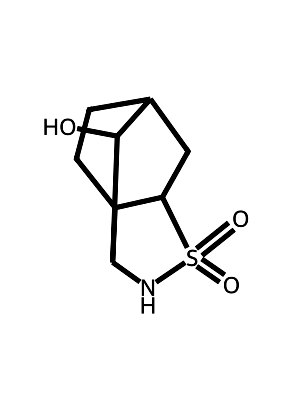 O=S1(=O)NC2C(O)C3CCC2C1C3